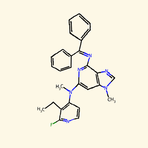 CCc1c(N(C)c2cc3c(ncn3C)c(N=C(c3ccccc3)c3ccccc3)n2)ccnc1F